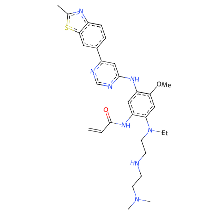 C=CC(=O)Nc1cc(Nc2cc(-c3ccc4nc(C)sc4c3)ncn2)c(OC)cc1N(CC)CCNCCN(C)C